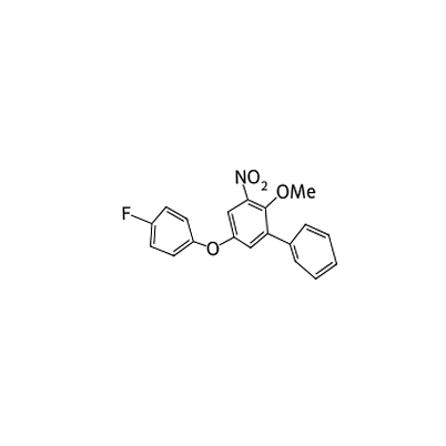 COc1c(-c2ccccc2)cc(Oc2ccc(F)cc2)cc1[N+](=O)[O-]